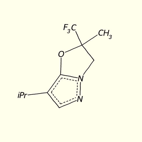 CC(C)c1cnn2c1OC(C)(C(F)(F)F)C2